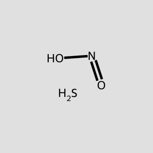 O=NO.S